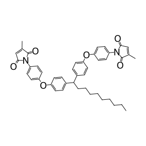 CCCCCCCCCC(c1ccc(Oc2ccc(N3C(=O)C=C(C)C3=O)cc2)cc1)c1ccc(Oc2ccc(N3C(=O)C=C(C)C3=O)cc2)cc1